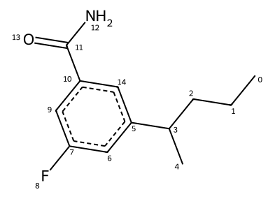 CCCC(C)c1cc(F)cc(C(N)=O)c1